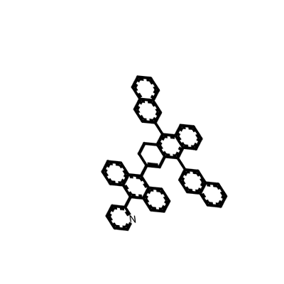 C1=C(c2c3ccccc3c(-c3ccccn3)c3ccccc23)CCc2c1c(-c1ccc3ccccc3c1)c1ccccc1c2-c1ccc2ccccc2c1